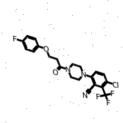 N#Cc1c(N2CCN(C(=O)CCOc3ccc(F)cc3)CC2)ccc(Cl)c1C(F)(F)F